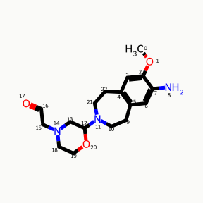 COc1cc2c(cc1N)CCN(C1CN(CC=O)CCO1)CC2